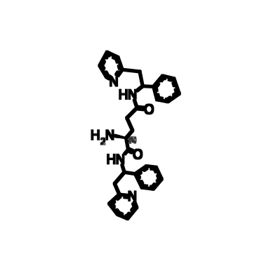 N[C@@H](CCC(=O)NC(Cc1ccccn1)c1ccccc1)C(=O)NC(Cc1ccccn1)c1ccccc1